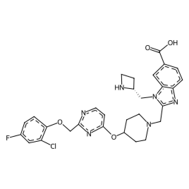 O=C(O)c1ccc2nc(CN3CCC(Oc4ccnc(COc5ccc(F)cc5Cl)n4)CC3)n(C[C@H]3CCN3)c2c1